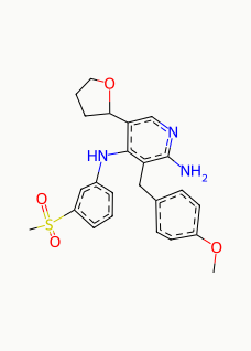 COc1ccc(Cc2c(N)ncc(C3CCCO3)c2Nc2cccc(S(C)(=O)=O)c2)cc1